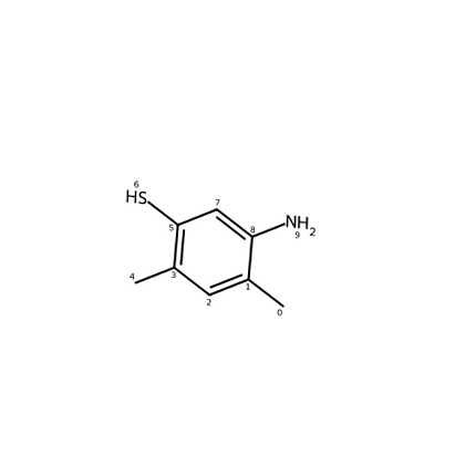 Cc1cc(C)c(S)cc1N